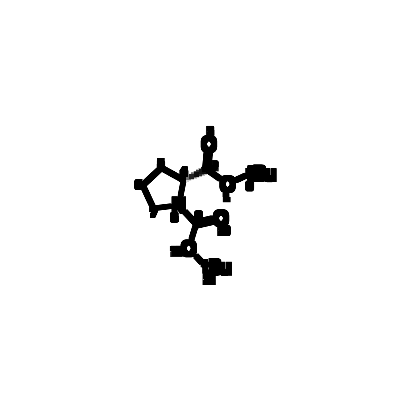 CC(C)(C)OC(=O)[C@H]1CCCN1C(=O)OC(C)(C)C